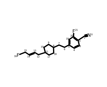 N#Cc1ccc(CCC2CCC(C/C=C/CF)CC2)cc1F